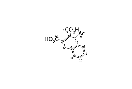 CC(=O)CC(C(=O)O)=C(Cc1ccccc1)C(=O)O